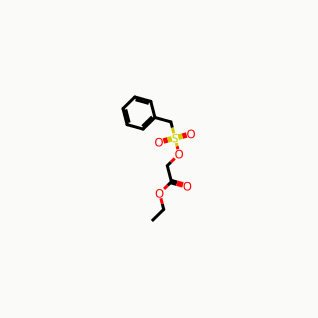 CCOC(=O)COS(=O)(=O)Cc1ccccc1